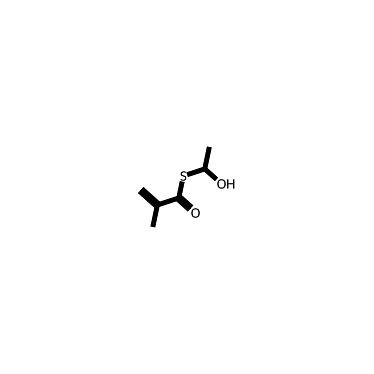 C=C(C)C(=O)SC(C)O